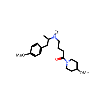 CCN(CCCC(=O)N1CCC(OC)CC1)C(C)Cc1ccc(OC)cc1